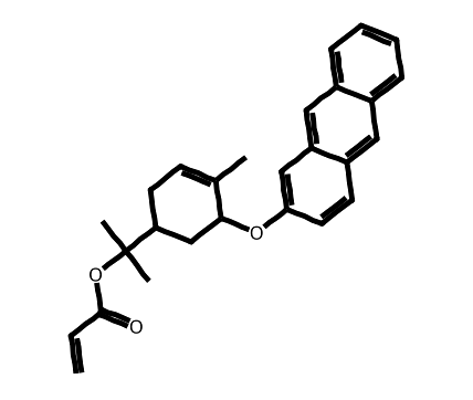 C=CC(=O)OC(C)(C)C1CC=C(C)C(Oc2ccc3cc4ccccc4cc3c2)C1